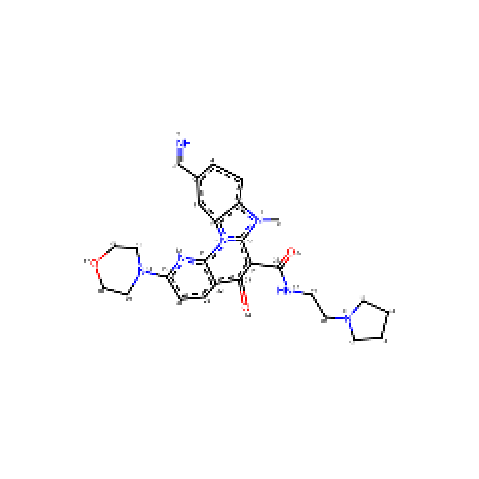 Cn1c2ccc(C=N)cc2n2c3nc(N4CCOCC4)ccc3c(=O)c(C(=O)NCCN3CCCC3)c12